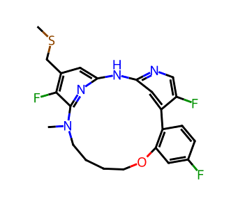 CSCc1cc2nc(c1F)N(C)CCCCOc1cc(F)ccc1-c1cc(ncc1F)N2